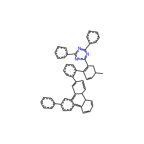 CC1C=CC(c2ccccc2C2=CC3=c4cc(-c5ccccc5)ccc4=C4C=CC=CC4C3C=C2)=C(c2nc(-c3ccccc3)nc(-c3ccccc3)n2)C1